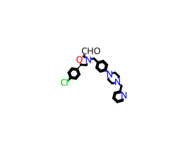 O=CC1O[C@H](c2ccc(Cl)cc2)CN1Cc1ccc(N2CCN(Cc3ccccn3)CC2)cc1